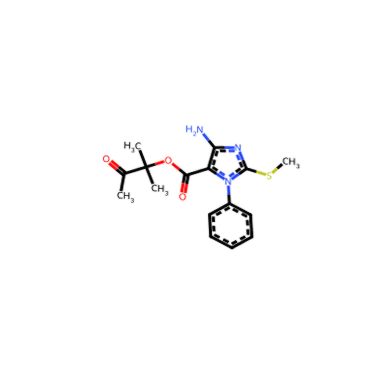 CSc1nc(N)c(C(=O)OC(C)(C)C(C)=O)n1-c1ccccc1